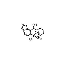 CC(C)(C)c1ccn2cncc2c1C(O)C1CCCCC1